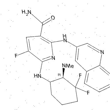 CN[C@@H]1C(Nc2nc(Nc3cnc4ccccc4c3)c(C(N)=O)cc2F)CCCC1(F)F